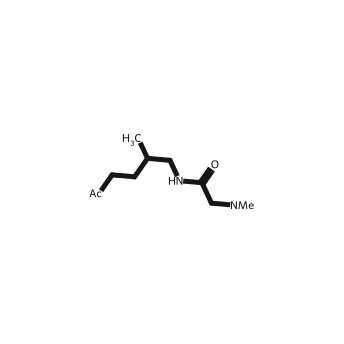 CNCC(=O)NCC(C)CCC(C)=O